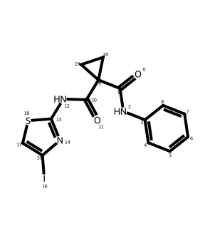 O=C(Nc1ccccc1)C1(C(=O)Nc2nc(I)cs2)CC1